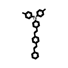 Cc1ccc(N(c2ccc(C)cc2)c2ccc(C=Cc3ccc(C=Cc4ccccc4)cc3)cc2)cc1